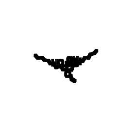 C=CCOC(CCCCCCCCCC)(CCCCCCCCCC)C(CO)(CO)CO